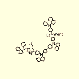 CCCCCC(CC)(c1ccc(N(c2ccccc2)c2cccc3ccccc23)cc1)c1ccc(N(c2ccc(-c3ccc(N(c4ccc(C(CC)(CCC=C(C)C)c5ccc(N(c6ccccc6)c6cccc7ccccc67)cc5)cc4)c4cccc5ccccc45)cc3)cc2)c2cccc3ccccc23)cc1